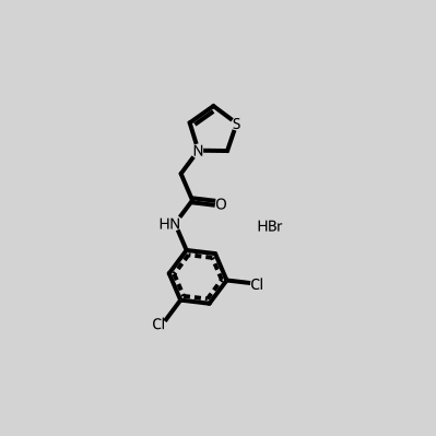 Br.O=C(CN1C=CSC1)Nc1cc(Cl)cc(Cl)c1